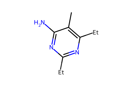 CCc1nc(N)c(C)c(CC)n1